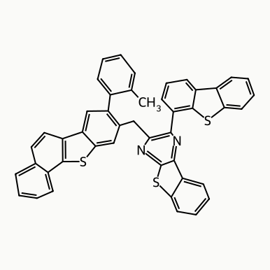 Cc1ccccc1-c1cc2c(cc1Cc1nc3sc4ccccc4c3nc1-c1cccc3c1sc1ccccc13)sc1c3ccccc3ccc21